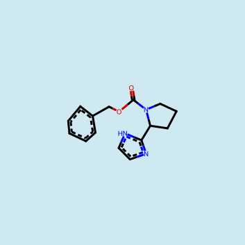 O=C(OCc1ccccc1)N1CCCC1c1ncc[nH]1